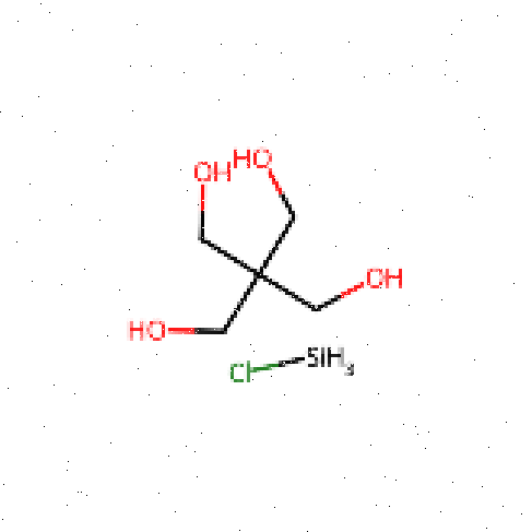 OCC(CO)(CO)CO.[SiH3]Cl